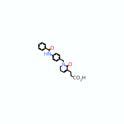 O=C(O)CCC1=CCCN(Cc2ccc(NC(=O)c3ccccc3)cc2)C1=O